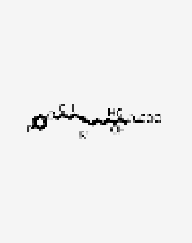 O=C([O-])COC[C@@H](O)[C@H](O)C=CC=CC#CC=C[C@@H](O)COc1ccc(F)cc1.[K+]